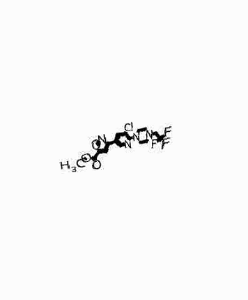 COC(=O)c1cc(-c2cnc(N3CCN(CC(F)(F)F)CC3)c(Cl)c2)no1